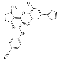 Cc1cc(-c2cccs2)cc(C)c1Oc1nc(Nc2ccc(C#N)cc2)nc2ccn(C)c12